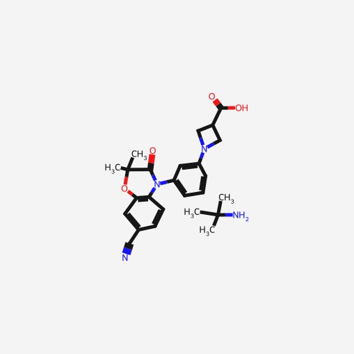 CC(C)(C)N.CC1(C)Oc2cc(C#N)ccc2N(c2cccc(N3CC(C(=O)O)C3)c2)C1=O